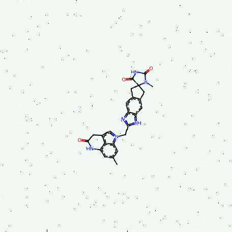 Cc1cc2c3c(cn(Cc4nc5cc6c(cc5[nH]4)CC4(C6)C(=O)NC(=O)N4C)c3c1)CC(=O)N2